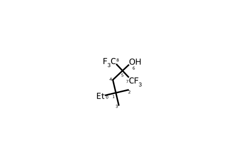 CCC(C)(C)CC(O)(C(F)(F)F)C(F)(F)F